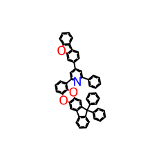 c1ccc(-c2cc(-c3ccc4c(c3)oc3ccccc34)cc(-c3cccc4c3Oc3cc5c(cc3O4)-c3ccccc3C5(c3ccccc3)c3ccccc3)n2)cc1